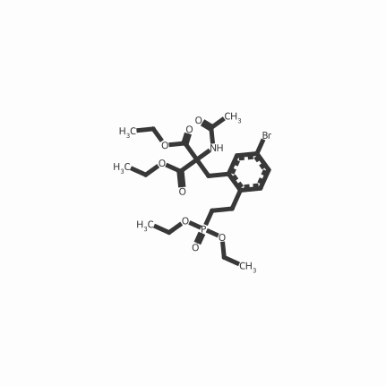 CCOC(=O)C(Cc1cc(Br)ccc1CCP(=O)(OCC)OCC)(NC(C)=O)C(=O)OCC